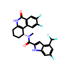 CN(C(=O)c1cc2c(C(F)F)cc(F)cc2[nH]1)[C@@H]1CCCc2[nH]c(=O)c3cc(F)c(F)cc3c21